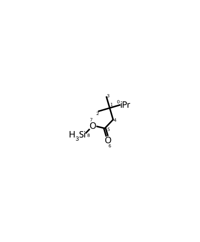 CC(C)C(C)(C)CC(=O)O[SiH3]